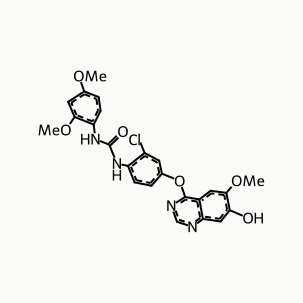 COc1ccc(NC(=O)Nc2ccc(Oc3ncnc4cc(O)c(OC)cc34)cc2Cl)c(OC)c1